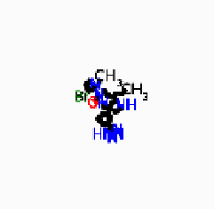 CCCCc1cn(-c2c(Br)ccn2CC)c(=O)n1CC1(c2cccc(-c3nnn[nH]3)c2)C=CNC=C1